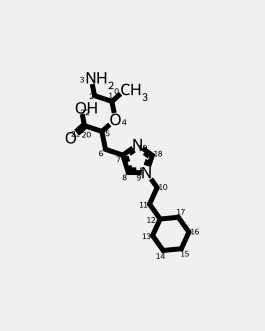 CC(CN)OC(Cc1cn(CCC2CCCCC2)cn1)C(=O)O